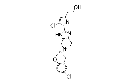 OCCC1C=C(Cl)C(c2nc3c([nH]2)CN([C@H]2COc4ccc(Cl)cc4C2)CC3)=N1